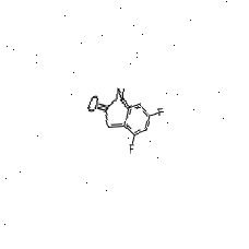 O=C1C=c2c(F)cc(F)cc2=N1